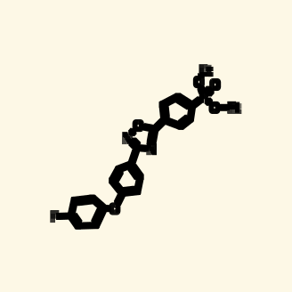 CCOP(=O)(OCC)c1ccc(-c2nc(-c3ccc(Oc4ccc(F)cc4)cc3)no2)cc1